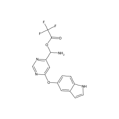 NC(OC(=O)C(F)(F)F)c1cc(Oc2ccc3[nH]ccc3c2)ncn1